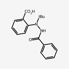 CC(C)(C)N(NC(=O)c1ccccc1)c1ccccc1C(=O)O